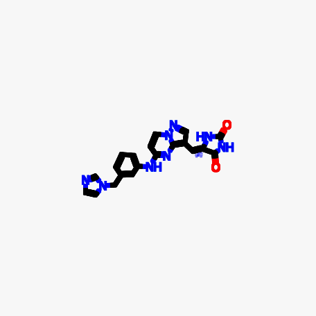 O=C1NC(=O)/C(=C/c2cnn3ccc(Nc4cccc(Cn5ccnc5)c4)nc23)N1